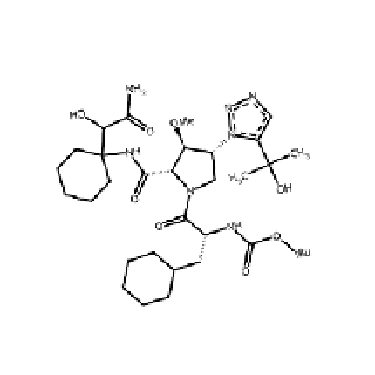 CO[C@@H]1[C@@H](C(=O)NC2(C(O)C(N)=O)CCCCC2)N(C(=O)[C@@H](CC2CCCCC2)NC(=O)OC(C)(C)C)C[C@H]1n1nncc1C(C)(C)O